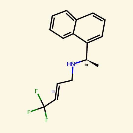 C[C@@H](NC/C=C/C(F)(F)F)c1cccc2ccccc12